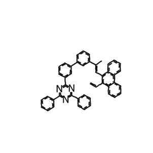 C=Cc1c(/C=C(\C)c2cccc(-c3cccc(-c4nc(-c5ccccc5)nc(-c5ccccc5)n4)c3)c2)c2ccccc2c2ccccc12